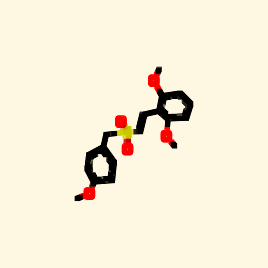 COc1ccc(CS(=O)(=O)/C=C/c2c(OC)cccc2OC)cc1